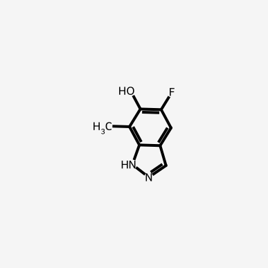 Cc1c(O)c(F)cc2cn[nH]c12